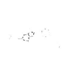 CC(=O)N[C@@H](C)CCN1CCC(Oc2nc3c(F)cc(OCC(F)F)c(F)c3n2C)CC1